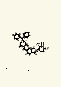 CC1CN(C(c2ccccc2)c2ccccc2)CC(C)N1Cc1ccc2c(c1)CN(C1CCC(=O)NC1=O)C2=O